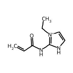 C=CC(=O)Nc1[nH]cc[n+]1CC